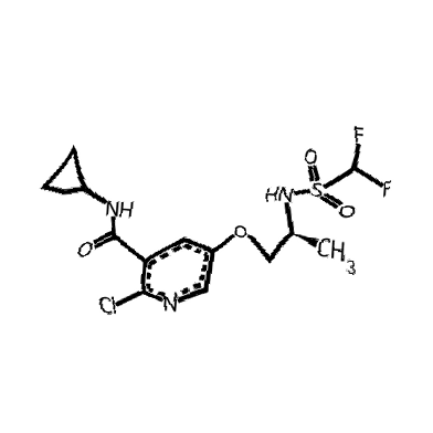 C[C@@H](COc1cnc(Cl)c(C(=O)NC2CC2)c1)NS(=O)(=O)C(F)F